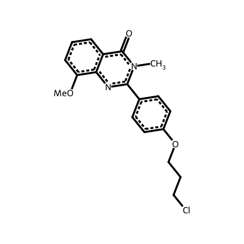 COc1cccc2c(=O)n(C)c(-c3ccc(OCCCCl)cc3)nc12